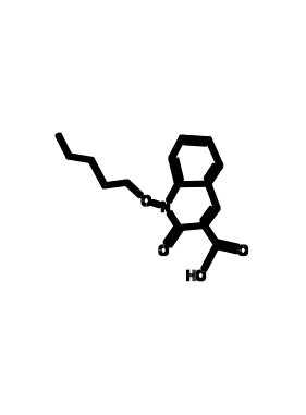 CCCCCOn1c(=O)c(C(=O)O)cc2ccccc21